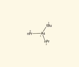 CCC[As](CCC)C(C)(C)C